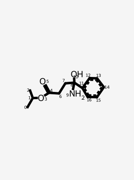 CC(C)OC(=O)CCC(N)(O)c1ccccc1